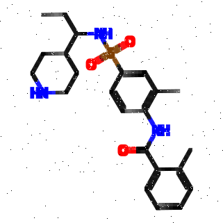 CCC(NS(=O)(=O)c1ccc(NC(=O)c2ccccc2C)c(C)c1)C1CCNCC1